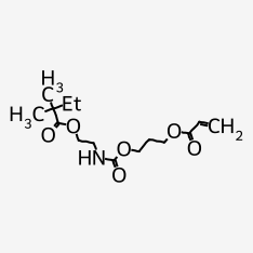 C=CC(=O)OCCCOC(=O)NCCOC(=O)C(C)(C)CC